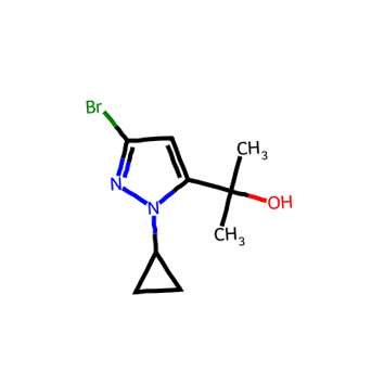 CC(C)(O)c1cc(Br)nn1C1CC1